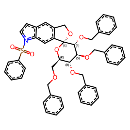 O=S(=O)(c1ccccc1)n1ccc2cc3c(cc21)[C@]1(OC3)O[C@H](COCc2ccccc2)[C@@H](OCc2ccccc2)[C@H](OCc2ccccc2)[C@H]1OCc1ccccc1